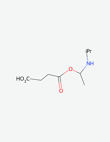 CC(C)NC(C)OC(=O)CCC(=O)O